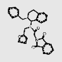 O=C1c2ccccc2C(=O)N1CC(=O)N(Cc1ccco1)[C@@H]1c2ccccc2CC[C@@H]1Cc1ccccc1